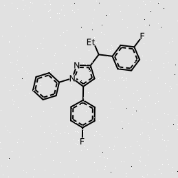 [CH2]CC(c1cccc(F)c1)c1cc(-c2ccc(F)cc2)n(-c2ccccc2)n1